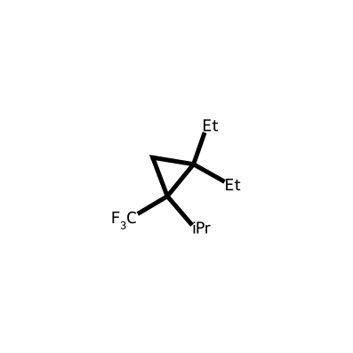 CCC1(CC)CC1(C(C)C)C(F)(F)F